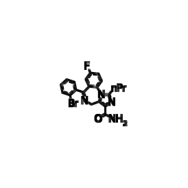 CCCc1nc(C(N)=O)c2n1-c1ccc(F)cc1C(c1ccccc1Br)=NC2